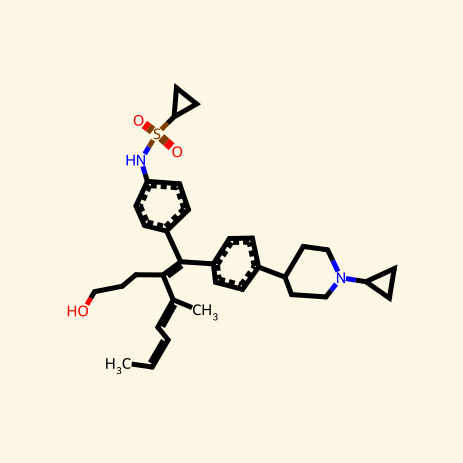 C\C=C/C=C(C)/C(CCCO)=C(/c1ccc(NS(=O)(=O)C2CC2)cc1)c1ccc(C2CCN(C3CC3)CC2)cc1